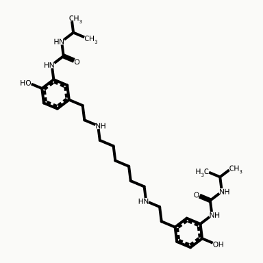 CC(C)NC(=O)Nc1cc(CCNCCCCCCNCCc2ccc(O)c(NC(=O)NC(C)C)c2)ccc1O